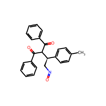 Cc1ccc([C@@H](CN=O)C(C(=O)c2ccccc2)C(=O)c2ccccc2)cc1